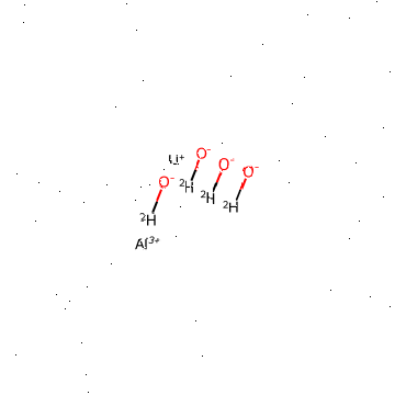 [2H][O-].[2H][O-].[2H][O-].[2H][O-].[Al+3].[Li+]